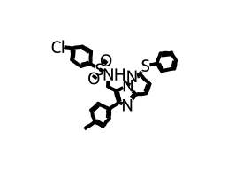 Cc1ccc(-c2nc3ccc(Sc4ccccc4)nn3c2CNS(=O)(=O)c2ccc(Cl)cc2)cc1